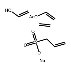 C=C.C=CCS(=O)(=O)[O-].C=CO.C=COC(C)=O.[Na+]